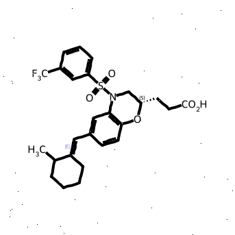 CC1CCCC/C1=C\c1ccc2c(c1)N(S(=O)(=O)c1cccc(C(F)(F)F)c1)C[C@H](CCC(=O)O)O2